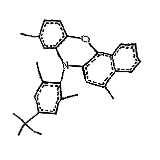 Cc1ccc2c(c1)N(c1c(C)cc(C(C)(C)C)cc1C)c1cc(C)c3ccccc3c1O2